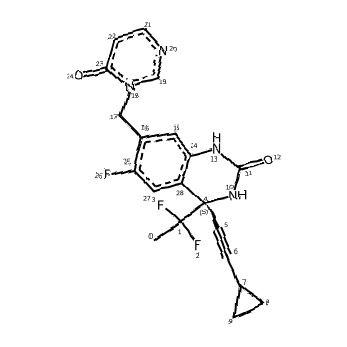 CC(F)(F)[C@@]1(C#CC2CC2)NC(=O)Nc2cc(Cn3cnccc3=O)c(F)cc21